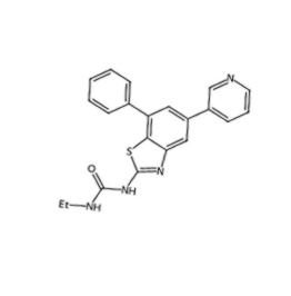 CCNC(=O)Nc1nc2cc(-c3cccnc3)cc(-c3ccccc3)c2s1